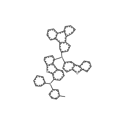 Cc1cccc(N(c2ccccc2)c2cccc3c2sc2cccc(N(c4ccc5oc6ccccc6c5c4)c4ccc5c6ccccc6c6ccccc6c5c4)c23)c1